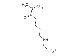 CN(C)C(=O)CCCCNCC(=O)O